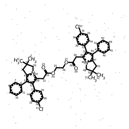 CC1(C)Cc2c(-c3ccccc3)c(-c3ccc(Cl)cc3)c(CC(=O)OCCOC(=O)Cc3c(-c4ccc(Cl)cc4)c(-c4ccccc4)c4n3CC(C)(C)C4)n2C1